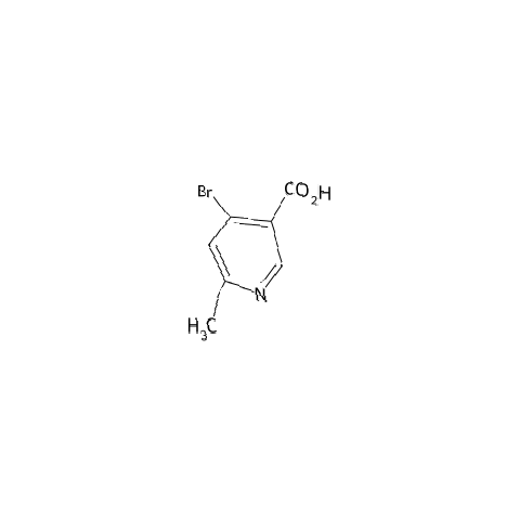 Cc1cc(Br)c(C(=O)O)cn1